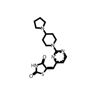 O=C1NC(=O)/C(=C\c2ccnc(N3CCC(N4CCCC4)CC3)n2)S1